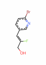 OC/C(F)=C/c1ccc(Br)nc1